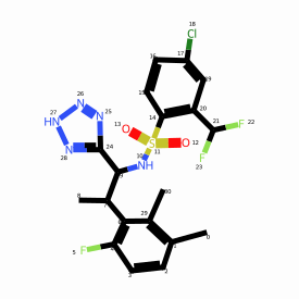 Cc1ccc(F)c(C(C)C(NS(=O)(=O)c2ccc(Cl)cc2C(F)F)c2nn[nH]n2)c1C